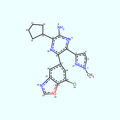 Cn1ccc(-c2nc(N)c(C3CCCC3)nc2-c2cc(Cl)c3ocnc3c2)n1